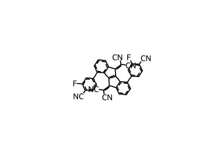 N#CC(C#N)=C1C2=C(C(=C(C#N)C#N)c3cccc(-c4ccc(C#N)c(F)c4)c32)c2c1cccc2-c1ccc(C#N)c(F)c1